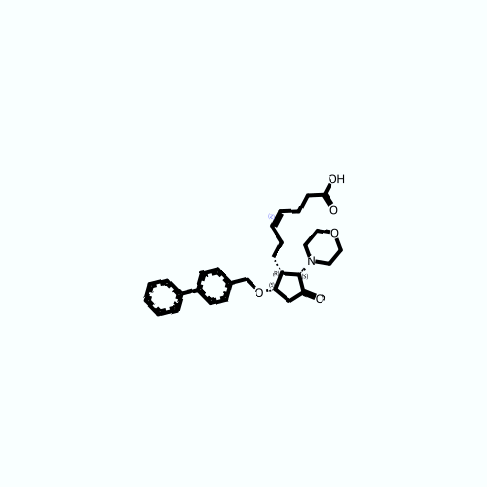 O=C(O)CC/C=C\CC[C@H]1[C@@H](OCc2ccc(-c3ccccc3)cc2)CC(=O)[C@H]1N1CCOCC1